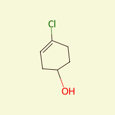 OC1CC=C(Cl)CC1